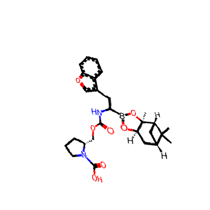 CC1(C)[C@@H]2C[C@H]3OB(C(Cc4coc5ccccc45)NC(=O)OC[C@H]4CCCN4C(=O)O)O[C@@]3(C)[C@H]1C2